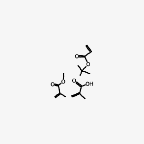 C=C(C)C(=O)O.C=C(C)C(=O)OC.C=CC(=O)OC(C)(C)C